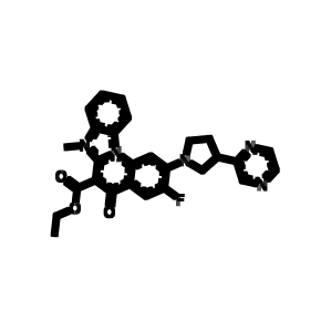 CCOC(=O)c1c(=O)c2cc(F)c(N3CCC(c4cnccn4)C3)cc2n2c3ccccc3n(C)c12